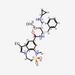 CCc1cn2c3c(cc(C(=O)N[C@@H](Cc4ccccc4)[C@@H](CNC4CC4)OC=O)cc13)N(C)S(=O)(=O)CC2